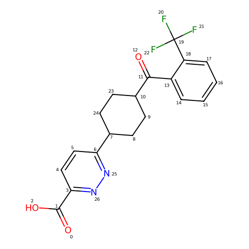 O=C(O)c1ccc(C2CCC(C(=O)c3ccccc3C(F)(F)F)CC2)nn1